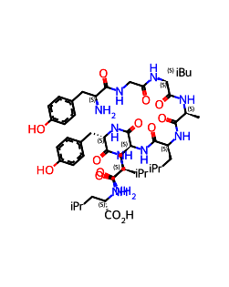 CC[C@H](C)[C@H](NC(=O)CNC(=O)[C@@H](N)Cc1ccc(O)cc1)C(=O)N[C@@H](C)C(=O)N[C@@H](CC(C)C)C(=O)N[C@@H](CCC(N)=O)C(=O)N[C@@H](Cc1ccc(O)cc1)C(=O)N[C@H](C(=O)N[C@@H](CC(C)C)C(=O)O)C(C)C